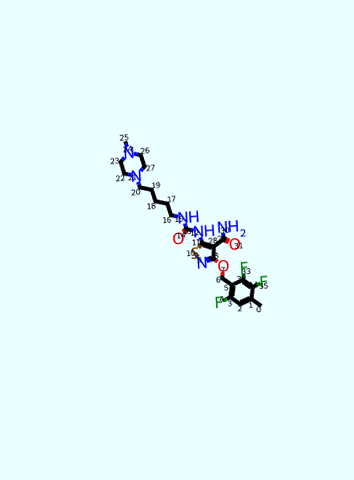 Cc1cc(F)c(COc2nsc(NC(=O)NCCCCCN3CCN(C)CC3)c2C(N)=O)c(F)c1F